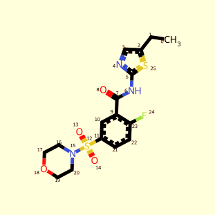 CCc1cnc(NC(=O)c2cc(S(=O)(=O)N3CCOCC3)ccc2F)s1